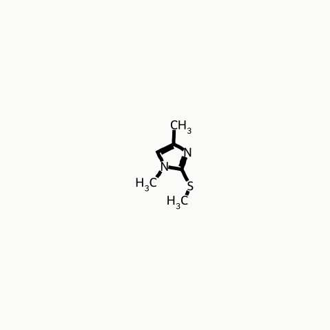 CSc1nc(C)cn1C